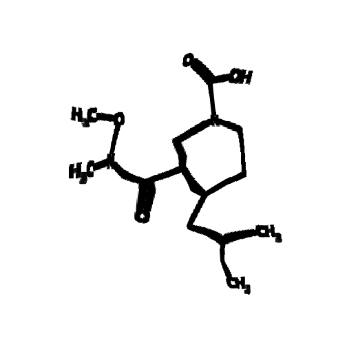 CON(C)C(=O)C1CN(C(=O)O)CCC1CC(C)C